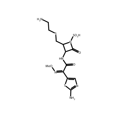 CON=C(C(=O)NC1C(=O)N(S(=O)(=O)O)C1CSCCN)c1cnc(N)s1